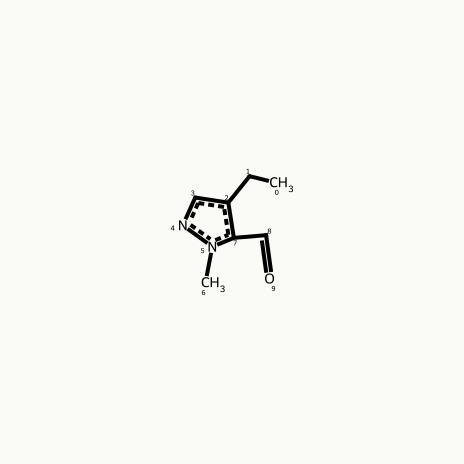 CCc1cnn(C)c1C=O